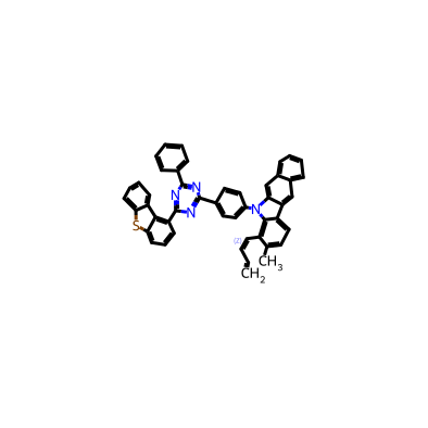 C=C/C=C\c1c(C)ccc2c3cc4ccccc4cc3n(-c3ccc(-c4nc(-c5ccccc5)nc(-c5cccc6sc7ccccc7c56)n4)cc3)c12